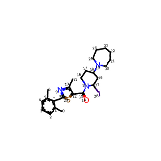 Cc1cccc(C)c1-c1nc(C)c(C(=O)N2CCC(N3CCCCCC3)CC2I)s1